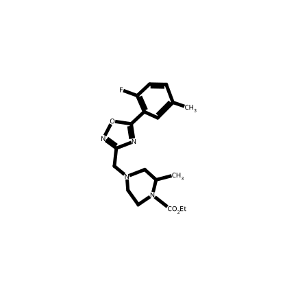 CCOC(=O)N1CCN(Cc2noc(-c3cc(C)ccc3F)n2)CC1C